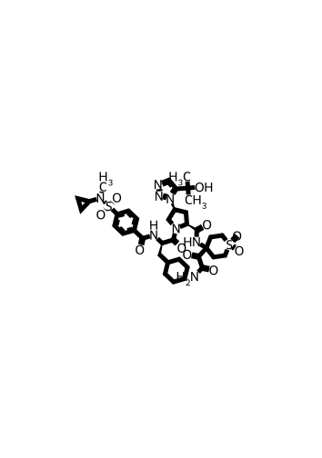 CN(C1CC1)S(=O)(=O)c1ccc(C(=O)N[C@H](CC2CCCCC2)C(=O)N2C[C@@H](n3nncc3C(C)(C)O)C[C@H]2C(=O)NC2(C(=O)C(N)=O)CCS(=O)(=O)CC2)cc1